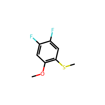 COc1cc(F)c(F)cc1SC